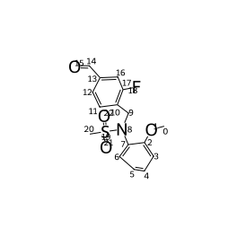 COc1ccccc1N(Cc1ccc(C=O)cc1F)S(C)(=O)=O